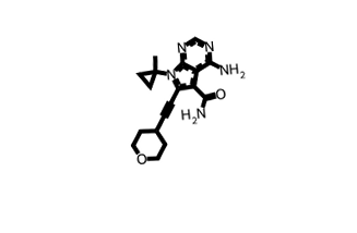 CC1(n2c(C#CC3CCOCC3)c(C(N)=O)c3c(N)ncnc32)CC1